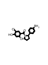 Bc1ccc(C2CCCN2C(=O)c2cc(Cl)c(O)cc2O)cc1